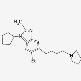 CCc1cc2c(cc1CCCCN1CCCC1)nc(C)n2C1CCCC1